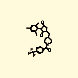 Cc1cc(C)c(C2C(=O)CC(CC3CCN(C(=O)c4ccc(C(F)(F)F)cc4)CC3)C2=O)c(C)c1